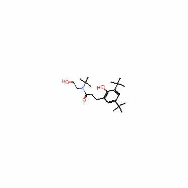 CC(C)(C)c1cc(CCC(=O)N(CCO)C(C)(C)C)c(O)c(C(C)(C)C)c1